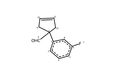 O=CC1(c2cccc(F)c2)CC=CC1